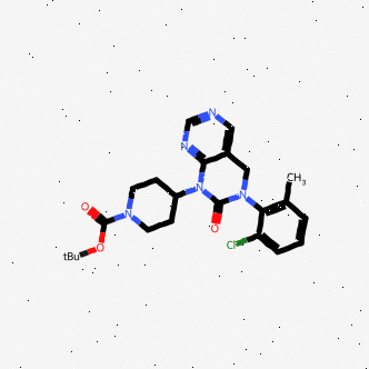 Cc1cccc(Cl)c1N1Cc2cncnc2N(C2CCN(C(=O)OC(C)(C)C)CC2)C1=O